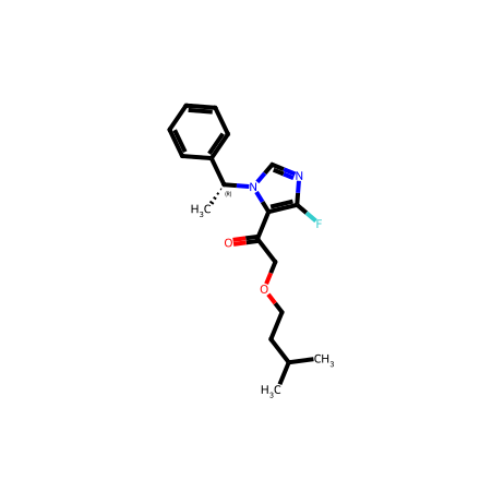 CC(C)CCOCC(=O)c1c(F)ncn1[C@H](C)c1ccccc1